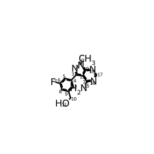 Cn1nc(-c2cc(F)cc(CO)c2)c2c(N)ncnc21